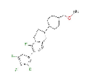 CCCOCC1CCC(C2CCc3c(ccc(-c4cc(F)c(F)c(F)c4)c3F)C2)CC1